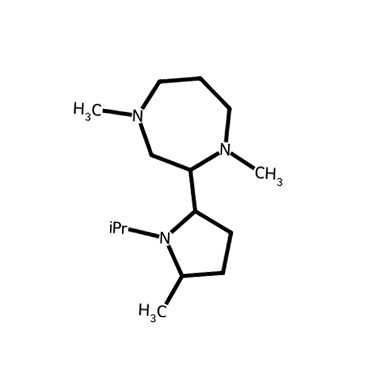 CC(C)N1C(C)CCC1C1CN(C)CCCN1C